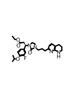 CCOC(=O)C[C@H](c1ccc(OC(C)C)c(F)c1)N1CCN(CCCc2ccc3c(n2)NCCC3)C1=O